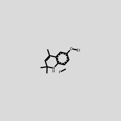 CCOc1ccc2c(c1)C(C)=CC(C)(C)N2.CF